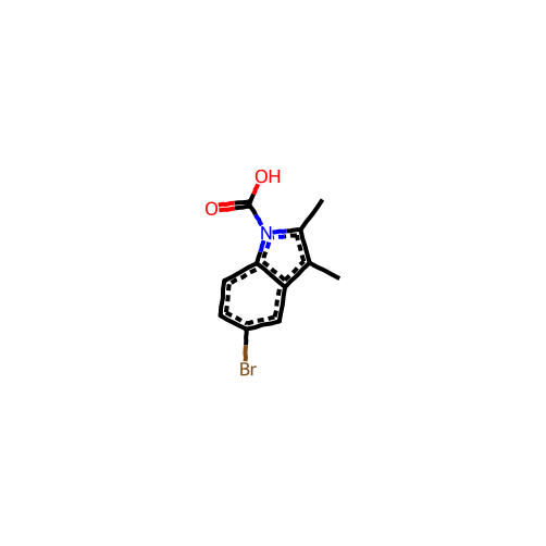 Cc1c(C)n(C(=O)O)c2ccc(Br)cc12